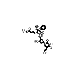 COC(=O)CCC[C@H](NP(=O)(OCC1OC(n2cc(/C=C/Br)c(=O)[nH]c2=O)CC1O)Oc1ccccc1)C(=O)OC